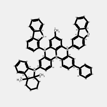 Cc1cc2c3c(c1)N(c1cccc4c1sc1ccccc14)c1cc(N4c5ccccc5C5(C)CCCCC45C)ccc1B3c1ccc(-c3ccccc3)cc1N2c1ccc2oc3ccccc3c2c1